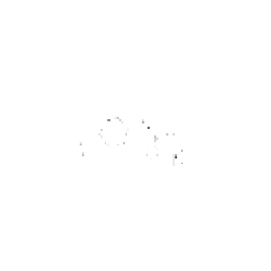 CC(=N)CC(=O)Nc1ccc(C(C)=O)cc1